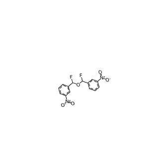 O=[N+]([O-])c1cccc(C(F)OC(F)c2cccc([N+](=O)[O-])c2)c1